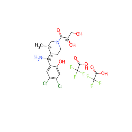 C[C@@H]1CN(C(=O)[C@H](O)CO)CC[C@@H]1[C@@H](N)c1cc(Cl)c(Cl)cc1O.O=C(O)C(F)(F)F.O=C(O)C(F)(F)F